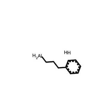 [AlH2][CH2]CCc1ccccc1.[HH]